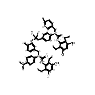 CCc1c(N)cc(Cl)c(CC)c1NC(=O)N(Cc1ccc(C)nc1)c1ccc(CC(F)(F)F)cc1.CCc1c(N)cc(Cl)c(CC)c1NC(=O)N(Cc1ccc(Cl)cc1)c1ccc(N(C)C)cc1